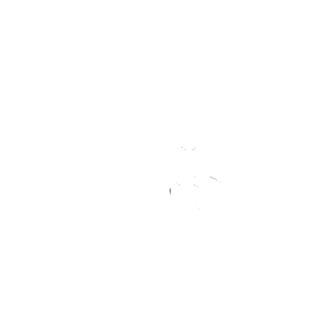 COCCOCCOC(=O)NC(CC1CC1)C(=O)NC(C#N)CC1CCNC1=O